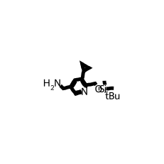 CC(C)(C)[Si](C)(C)OCc1ncc(CN)cc1C1CC1